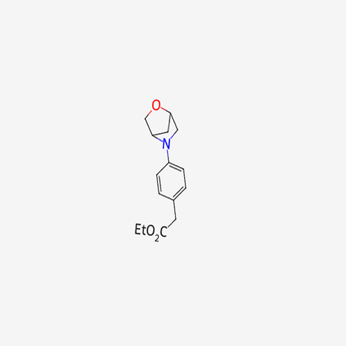 CCOC(=O)Cc1ccc(N2CC3CC2CO3)cc1